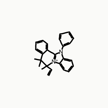 C=CC1(C)[n+]2c(n(-c3ccccc3)c3ccccc32)-c2ccccc2C1(C)C